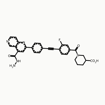 NNC(=O)c1cc(-c2ccc(C#Cc3ccc(C(=O)N4CCCC(C(=O)O)C4)cc3F)cc2)nc2ccncc12